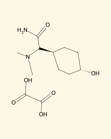 CN(C)C(C(N)=O)[C@H]1CC[C@H](O)CC1.O=C(O)C(=O)O